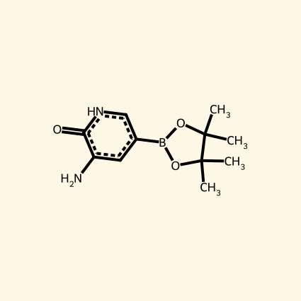 CC1(C)OB(c2c[nH]c(=O)c(N)c2)OC1(C)C